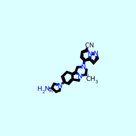 C[C@@H]1CN(c2ccc(C#N)n3nccc23)CC2=C3CC=C(N4CC[C@@H](N)C4)C=C3CN21